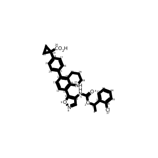 CC(OC(=O)Nc1cnoc1-c1ccc(-c2ccc(C3(C(=O)O)CC3)cc2)c2c1NCCC2)c1ccccc1Cl